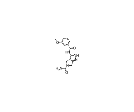 COc1cccc(C(=O)Nc2[nH]nc3c2CN(C(N)=O)C3)c1